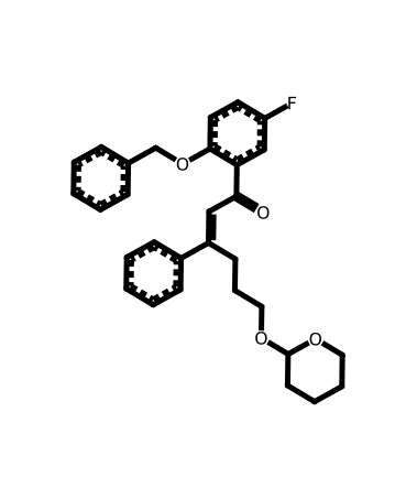 O=C(/C=C(\CCCOC1CCCCO1)c1ccccc1)c1cc(F)ccc1OCc1ccccc1